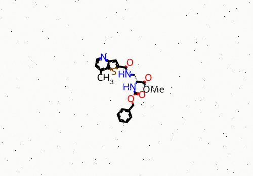 COC(=O)[C@@H](CNC(=O)c1cc2nccc(C)c2s1)NC(=O)OCc1ccccc1